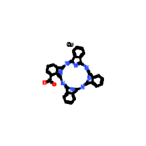 [Cu].[O]=[Ti](=[O])[c]1cccc2c3nc4nc(nc5[nH]c(nc6nc(nc([nH]3)c12)-c1ccccc1-6)c1ccccc51)-c1ccccc1-4